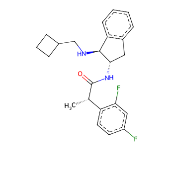 C[C@H](C(=O)N[C@H]1Cc2ccccc2[C@@H]1NCC1CCC1)c1ccc(F)cc1F